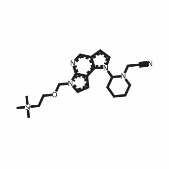 C[Si](C)(C)CCOCn1ccc2c1ncc1ccn(C3CCCCN3CC#N)c12